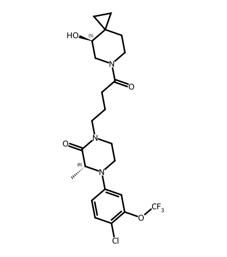 C[C@@H]1C(=O)N(CCCC(=O)N2CCC3(CC3)[C@H](O)C2)CCN1c1ccc(Cl)c(OC(F)(F)F)c1